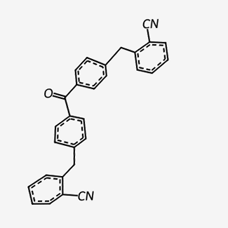 N#Cc1ccccc1Cc1ccc(C(=O)c2ccc(Cc3ccccc3C#N)cc2)cc1